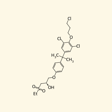 CCS(=O)(=O)C[C@H](O)COc1ccc(C(C)(C)c2cc(Cl)c(OCCCCl)c(Cl)c2)cc1